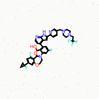 O=C1c2c(F)cc(C3(F)CC3)cc2OCCN1c1cc(F)cc(-c2ccnc3[nH]c(-c4ccc(CN5CCN(CC(F)(F)F)CC5)cn4)cc23)c1CO